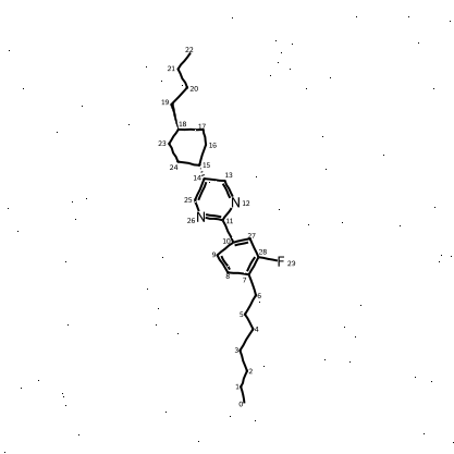 CCCCCCCc1ccc(-c2ncc([C@H]3CC[C@H](CCCC)CC3)cn2)cc1F